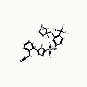 C[C@@]1(Oc2cc(NS(=O)(=O)c3ccc(-c4ccccc4CC#N)s3)ccc2C(F)(F)F)CCNC1